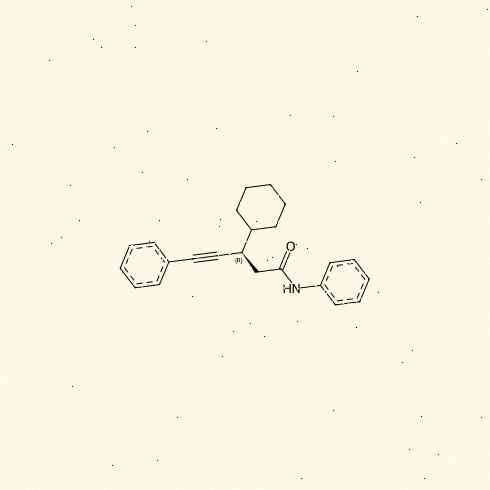 O=C(C[C@@H](C#Cc1ccccc1)C1CCCCC1)Nc1ccccc1